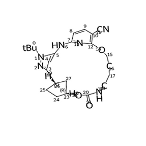 CC(C)(C)n1nc2cc1Nc1ccc(C#N)c(n1)OCCCCNC(=O)O[C@@H]1CC[C@H]2C1